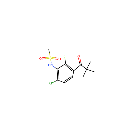 CC(C)(C)C(=O)c1ccc(Cl)c(NS(C)(=O)=O)c1F